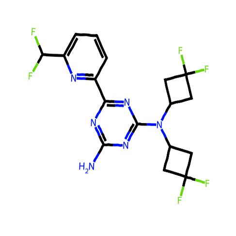 Nc1nc(-c2cccc(C(F)F)n2)nc(N(C2CC(F)(F)C2)C2CC(F)(F)C2)n1